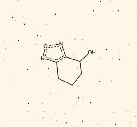 OC1CCCc2nonc21